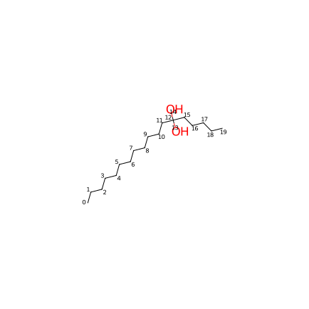 CCCCCCCCCCCCC(O)(O)CCCCC